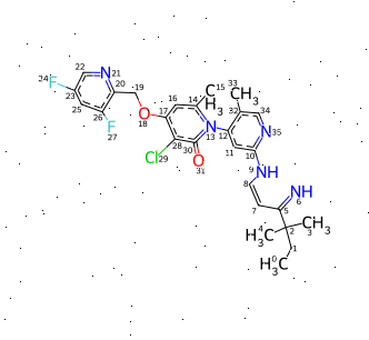 CCC(C)(C)C(=N)/C=C\Nc1cc(-n2c(C)cc(OCc3ncc(F)cc3F)c(Cl)c2=O)c(C)cn1